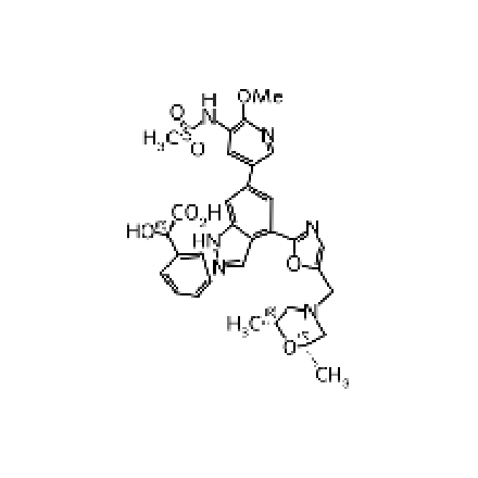 COc1ncc(-c2cc(-c3ncc(CN4C[C@@H](C)O[C@@H](C)C4)o3)c3cn[nH]c3c2)cc1NS(C)(=O)=O.O=C(O)[C@H](O)c1ccccc1